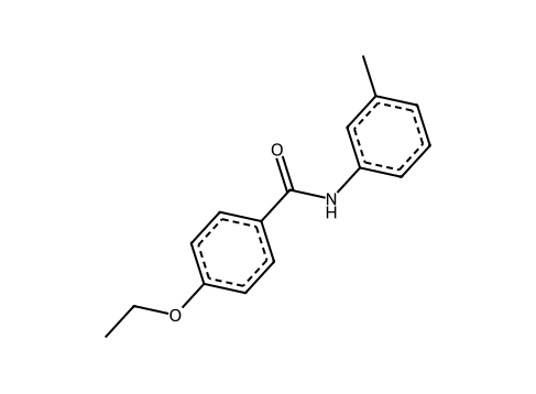 CCOc1ccc(C(=O)Nc2cccc(C)c2)cc1